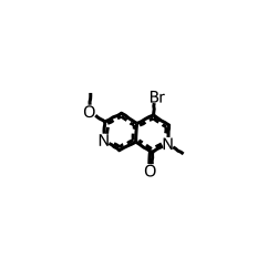 COc1cc2c(Br)cn(C)c(=O)c2cn1